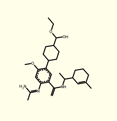 C=C(NC(C)C1C=C(C)CCC1)c1cc(C2CCC(C(O)OCC)CC2)c(OC)cc1/N=C(/C)N